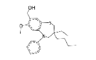 CCCCC1(CC)CSc2cc(CO)c(OC)cc2N(c2ccccc2)C1